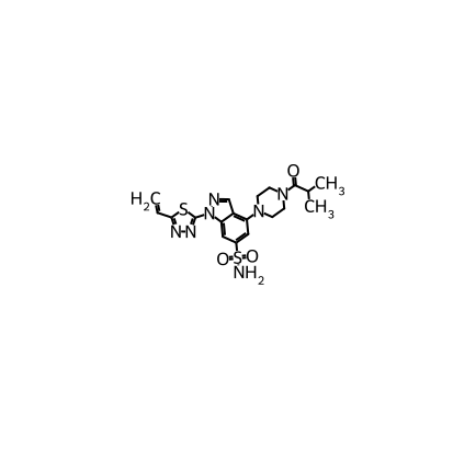 C=Cc1nnc(-n2ncc3c(N4CCN(C(=O)C(C)C)CC4)cc(S(N)(=O)=O)cc32)s1